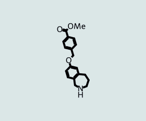 COC(=O)c1ccc(COc2ccc3c(c2)CCCNC3)cc1